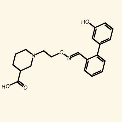 O=C(O)C1CCCN(CCON=Cc2ccccc2-c2cccc(O)c2)C1